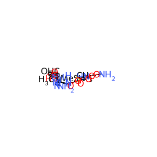 CSSC(C)c1cc(NC(=O)COCCOCCN)ccc1C(=O)OCCCCC(=O)NCC#Cc1cn([C@H](O)C[C@H](CC=O)OC(=O)c2ccccc2C(C)N)c2ncnc(N)c12